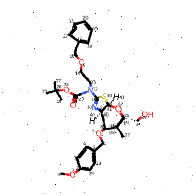 COc1ccc(COC2[C@H]3N=C(N(CCOCc4ccccc4)C(=O)OC(C)(C)C)S[C@H]3O[C@H](CO)[C@H]2C)cc1